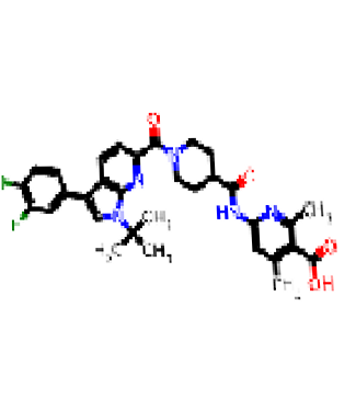 Cc1cc(NC(=O)C2CCN(C(=O)c3ccc4c(-c5ccc(Cl)c(F)c5)cn(C(C)(C)C)c4n3)CC2)nc(C)c1C(=O)O